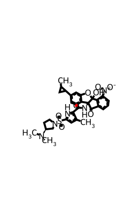 Cc1cc(S(=O)(=O)N2CC[C@H](N(C)C)C2)[nH]c1C(=O)NC12C(=O)c3cccc([N+](=O)[O-])c3C1(O)Oc1cc(C3CC3C)ccc12